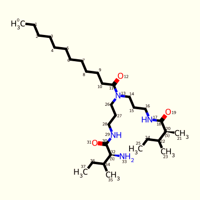 CCCCCCCCCCCC(=O)N(CCCNC(=O)[C@@H](C)C(C)CC)CCCNC(=O)[C@@H](N)C(C)CC